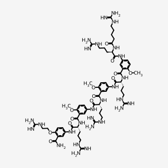 COc1ccc(NC(=O)[C@@H](CCCNC(=N)N)NC(=O)CCCCNC(=N)N)cc1C(=O)N[C@H](CCCNC(=N)N)C(=O)Nc1ccc(OC)c(C(=O)N[C@H](CCCNC(=N)N)C(=O)Nc2ccc(OC)c(C(=O)N[C@H](CCCNC(=N)N)C(=O)Nc3ccc(OCCNC(=N)N)c(C(N)=O)c3)c2)c1